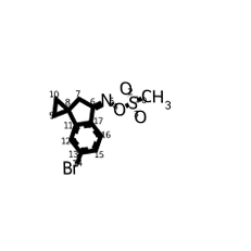 CS(=O)(=O)O/N=C1/CC2(CC2)c2cc(Br)ccc21